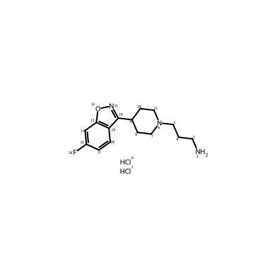 Cl.Cl.NCCCN1CCC(c2noc3cc(F)ccc23)CC1